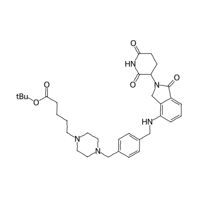 CC(C)(C)OC(=O)CCCCN1CCN(Cc2ccc(CNc3cccc4c3CN(C3CCC(=O)NC3=O)C4=O)cc2)CC1